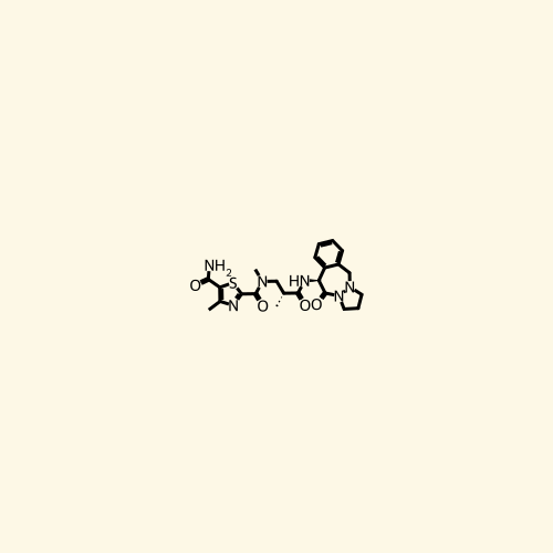 Cc1nc(C(=O)N(C)C[C@@H](C)C(=O)N[C@@H]2C(=O)N3CCCN3Cc3ccccc32)sc1C(N)=O